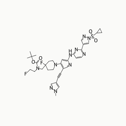 Cn1cc(C#Cc2cnc(Nc3ccnc(-c4cnn(S(=O)(=O)C5CC5)c4)n3)cc2N2CCC(F)(CN(CCF)C(=O)OC(C)(C)C)CC2)cn1